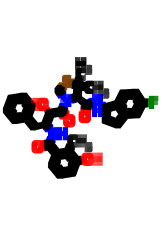 Cc1c(O)cccc1C(=O)N[C@@H](Cc1ccccc1)[C@H](O)C(=O)N1CSC(C)(C)[C@H]1C(=O)N[C@H]1CCc2cc(F)ccc21